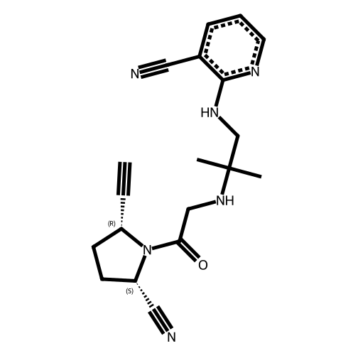 C#C[C@H]1CC[C@@H](C#N)N1C(=O)CNC(C)(C)CNc1ncccc1C#N